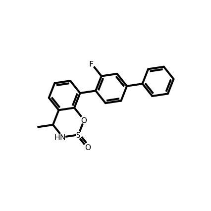 CC1NS(=O)Oc2c(-c3ccc(-c4ccccc4)cc3F)cccc21